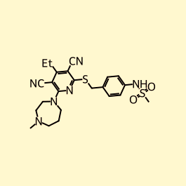 CCc1c(C#N)c(SCc2ccc(NS(C)(=O)=O)cc2)nc(N2CCCN(C)CC2)c1C#N